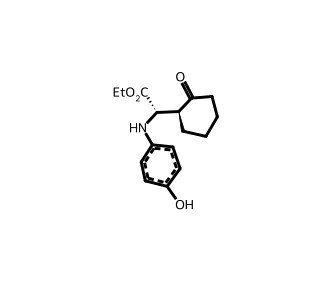 CCOC(=O)[C@@H](Nc1ccc(O)cc1)[C@@H]1CCCCC1=O